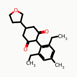 CCc1cc(C)cc(CC)c1C1C(=O)CC(C2CCOC2)CC1=O